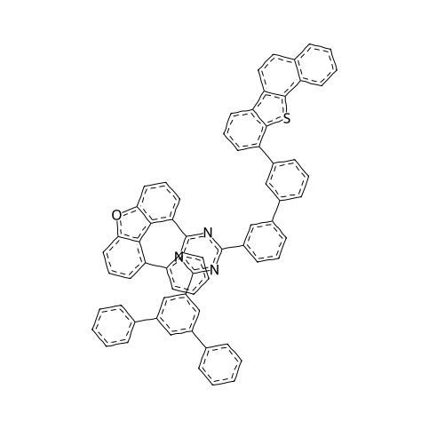 c1ccc(-c2cc(-c3ccccc3)cc(-c3nc(-c4cccc(-c5cccc(-c6cccc7c6sc6c8ccccc8ccc76)c5)c4)nc(-c4cccc5oc6cccc(-c7ccccc7)c6c45)n3)c2)cc1